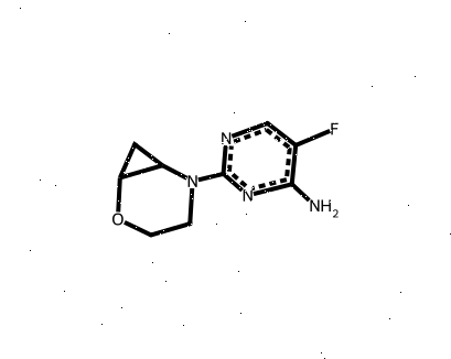 Nc1nc(N2CCOC3CC32)ncc1F